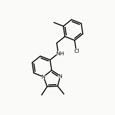 Cc1cccc(Cl)c1CNc1cccn2c(C)c(C)nc12